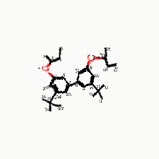 CCC(C)Oc1cc(-c2[c]c(C(C)(C)C)cc(OC(C)CC)c2)[c]c(C(C)(C)C)c1